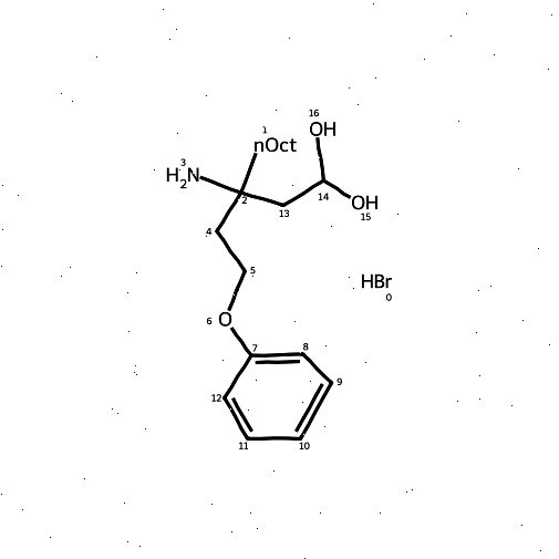 Br.CCCCCCCCC(N)(CCOc1ccccc1)CC(O)O